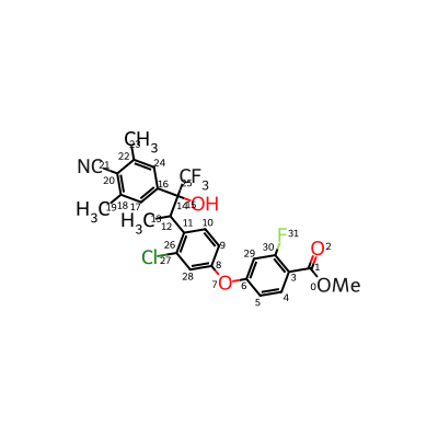 COC(=O)c1ccc(Oc2ccc(C(C)C(O)(c3cc(C)c(C#N)c(C)c3)C(F)(F)F)c(Cl)c2)cc1F